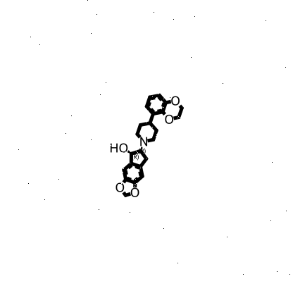 O[C@@H]1c2cc3c(cc2C[C@H]1N1CCC(c2cccc4c2OCCO4)CC1)OCO3